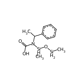 C[SiH2]O[SiH](C)N(C(=O)O)C(C)c1ccccc1